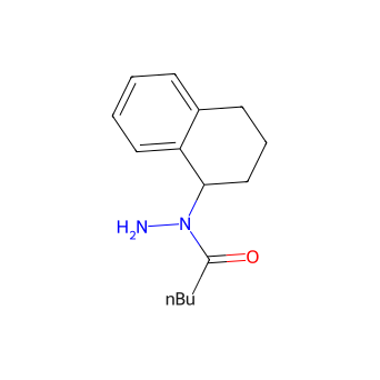 CCCCC(=O)N(N)C1CCCc2ccccc21